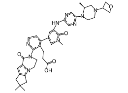 C[C@H]1CN(C2COC2)CCN1c1cnc(Nc2cc(-c3ccnc(N4CCn5c(cc6c5CC(C)(C)C6)C4=O)c3CCC(=O)O)cn(C)c2=O)cn1